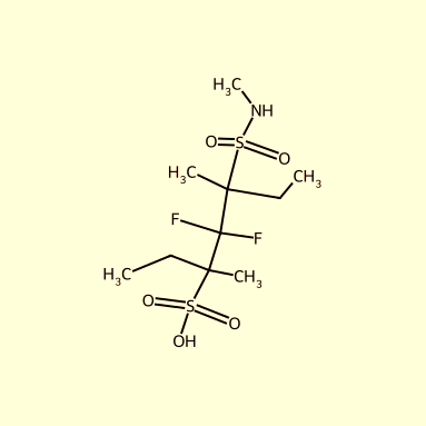 CCC(C)(C(F)(F)C(C)(CC)S(=O)(=O)NC)S(=O)(=O)O